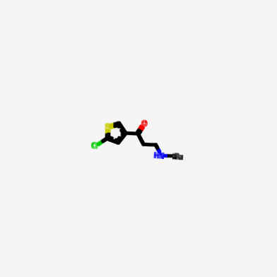 CC(C)(C)NCCC(=O)c1csc(Cl)c1